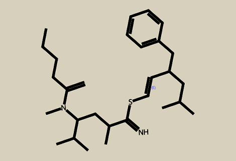 C=C(CCCC)N(C)C(CC(C)C(=N)S/C=C/C(Cc1ccccc1)CC(C)C)C(C)C